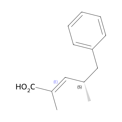 C/C(=C\[C@@H](C)Cc1ccccc1)C(=O)O